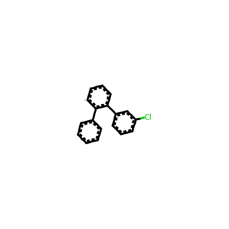 Clc1cccc(-c2ccc[c]c2-c2ccccc2)c1